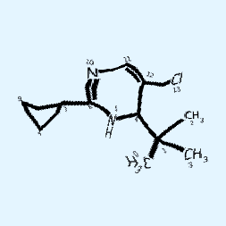 CC(C)(C)C1NC(C2CC2)=NC=C1Cl